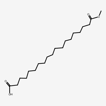 COC(=O)CCCCCCCCCCCCCCCCCC(=O)O